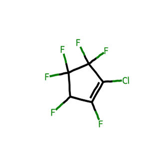 FC1=C(Cl)C(F)(F)C(F)(F)C1F